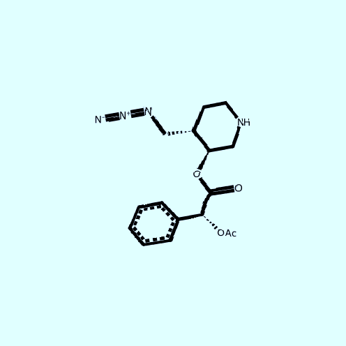 CC(=O)O[C@@H](C(=O)O[C@@H]1CNCC[C@H]1CN=[N+]=[N-])c1ccccc1